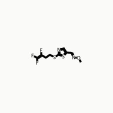 CON=Cc1cnc(SCCC(F)=C(F)F)s1